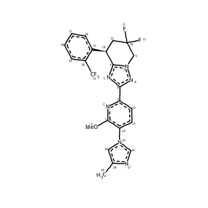 COc1nc(-c2nc3n(n2)CC(F)(F)C[C@@H]3c2ccccc2C(F)(F)F)ccc1-n1cnc(C)c1